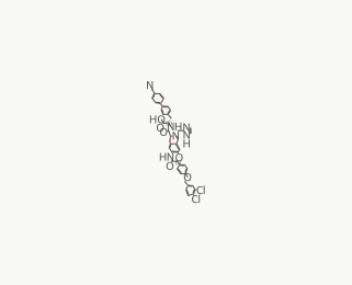 N#Cc1ccc(-c2ccc(C[C@H](NC(=O)C3Cc4cc5c(cc4CN3Cc3ncc[nH]3)O[C@@H](c3ccc(OCc4ccc(Cl)c(Cl)c4)cc3)C(=O)N5)C(=O)O)cc2)cc1